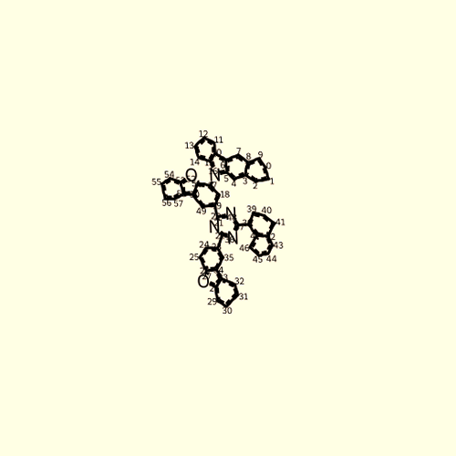 c1ccc2cc3c(cc2c1)c1ccccc1n3-c1cc(-c2nc(-c3ccc4oc5ccccc5c4c3)nc(-c3cccc4ccccc34)n2)cc2c1oc1ccccc12